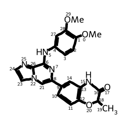 COc1ccc(Nc2nc(-c3ccc4c(c3)NC(=O)C(C)O4)cn3ccnc23)cc1OC